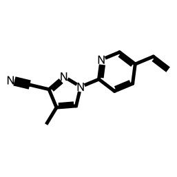 C=Cc1ccc(-n2cc(C)c(C#N)n2)nc1